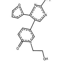 Nc1ncc(-c2ccc(=O)n(CCO)c2)c(-c2ccco2)n1